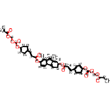 C=CC(=O)OCOC(=O)Oc1ccc(/C=C/C(=O)Oc2ccc3c(c2)C(C)(C)c2cc(OC(=O)/C=C/c4ccc(OC(=O)OCOC(=O)C=C)cc4)ccc2-3)cc1